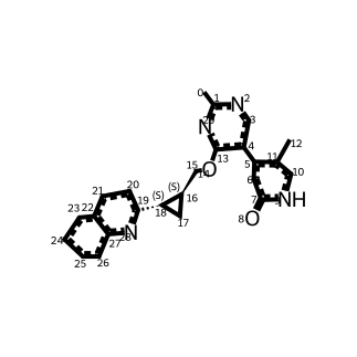 Cc1ncc(-c2cc(=O)[nH]cc2C)c(OC[C@H]2C[C@@H]2c2ccc3ccccc3n2)n1